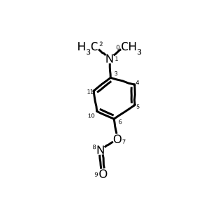 CN(C)c1ccc(ON=O)cc1